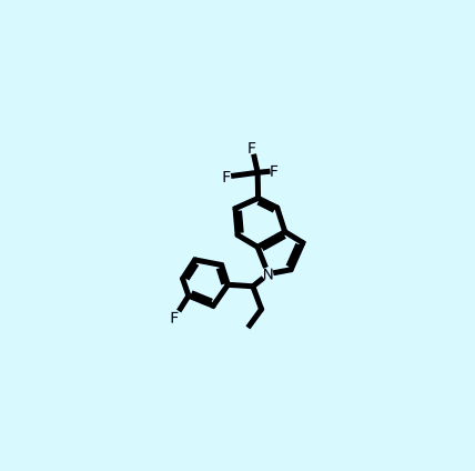 CCC(c1cccc(F)c1)n1ccc2cc(C(F)(F)F)ccc21